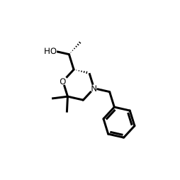 C[C@@H](O)[C@@H]1CN(Cc2ccccc2)CC(C)(C)O1